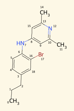 CCCc1ccc(Nc2cc(C)nc(C)c2)c(Br)c1